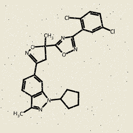 Cc1nn(C2CCCC2)c2cc(C3=NOC(C)(c4nc(-c5cc(Cl)ccc5Cl)no4)C3)ccc12